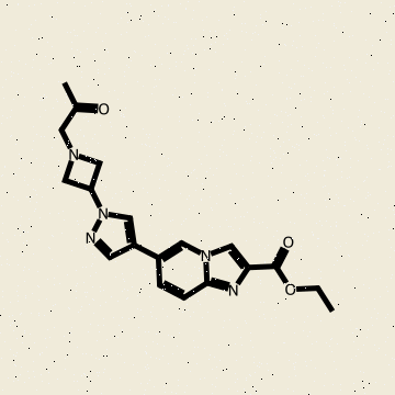 CCOC(=O)c1cn2cc(-c3cnn(C4CN(CC(C)=O)C4)c3)ccc2n1